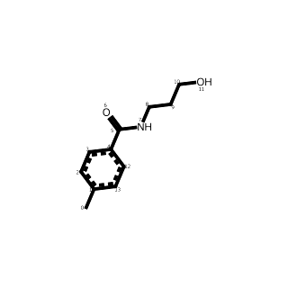 Cc1ccc(C(=O)NCCCO)cc1